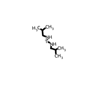 CC(C)C[NH][Ti][NH]CC(C)C